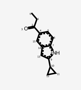 CCC(=O)c1ccc2[nH]c(C3CC3)cc2c1